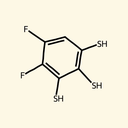 Fc1cc(S)c(S)c(S)c1F